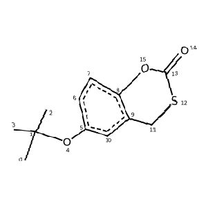 CC(C)(C)Oc1ccc2c(c1)CSC(=O)O2